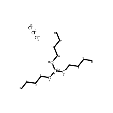 CCCC[O][Ti+3]([O]CCCC)[O]CCCC.[Cl-].[Cl-].[Cl-]